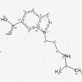 CC(C)NCCCn1ccc2ccc(C(=O)O)cc21